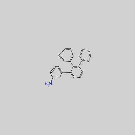 Nc1cccc(-c2cccc(-c3ccccc3)c2-c2ccccc2)c1